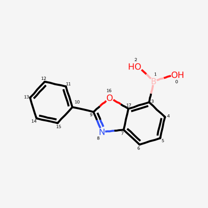 OB(O)c1cccc2nc(-c3ccccc3)oc12